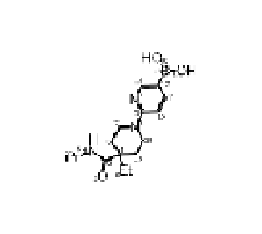 CCC1(C(=O)NC(C)C)CCN(c2ccc(B(O)O)cn2)CC1